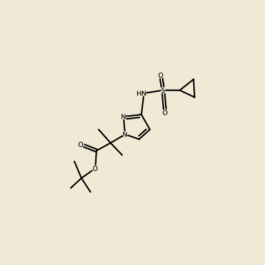 CC(C)(C)OC(=O)C(C)(C)n1ccc(NS(=O)(=O)C2CC2)n1